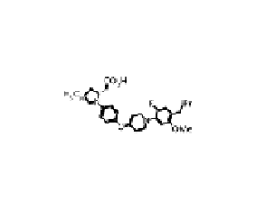 COc1cc(N2CCC(Oc3ccc(N4C[C@H](C)C[C@@H]4CC(=O)O)cc3)CC2)c(F)cc1CC(C)C